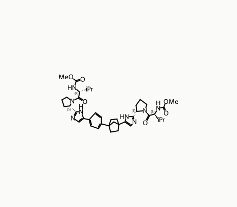 COC(=O)N[C@H](C(=O)N1CCC[C@H]1c1ncc(C23CCC(c4ccc(-c5cnc([C@@H]6CCCN6C(=O)[C@H](NC(=O)OC)C(C)C)[nH]5)cc4)(CC2)C3)[nH]1)C(C)C